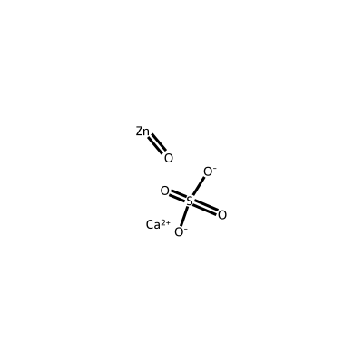 O=S(=O)([O-])[O-].[Ca+2].[O]=[Zn]